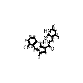 Cc1cc(C)c(CNC(=O)c2cc(C)n(Cc3ccccc3Cl)c2C)c(=O)[nH]1